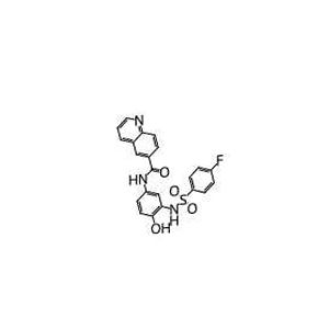 O=C(Nc1ccc(O)c(NS(=O)(=O)c2ccc(F)cc2)c1)c1ccc2ncccc2c1